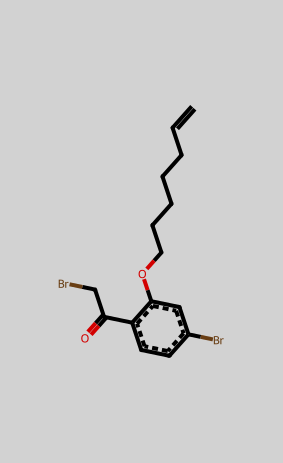 C=CCCCCCOc1cc(Br)ccc1C(=O)CBr